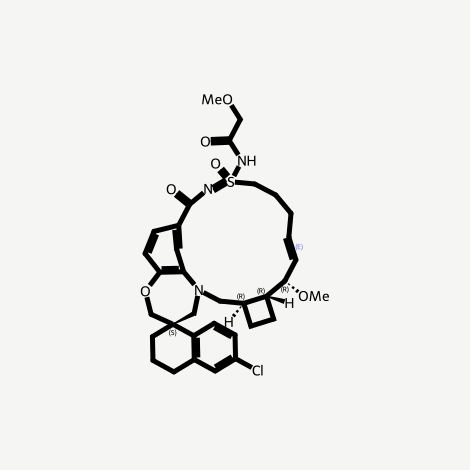 COCC(=O)NS1(=O)=NC(=O)c2ccc3c(c2)N(C[C@@H]2CC[C@H]2[C@@H](OC)/C=C/CCC1)C[C@@]1(CCCc2cc(Cl)ccc21)CO3